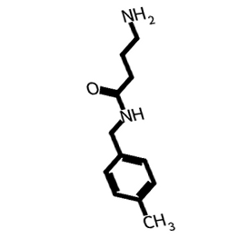 Cc1ccc(CNC(=O)CCCN)cc1